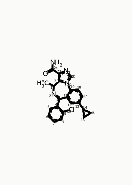 CC1N=C(c2ccccc2Cl)c2cc(C3CC3)ccc2-n2cnc(C(N)=O)c21